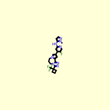 Cn1nccc1Nc1cc(-c2cc3n(c2)CCCn2c-3nnc2C2(C(F)(F)F)CCC2)c(F)cn1